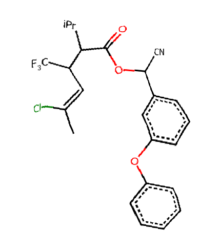 CC(Cl)=CC(C(C(=O)OC(C#N)c1cccc(Oc2ccccc2)c1)C(C)C)C(F)(F)F